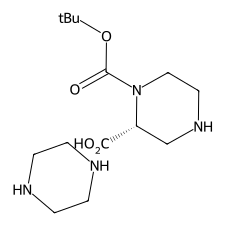 C1CNCCN1.CC(C)(C)OC(=O)N1CCNC[C@@H]1C(=O)O